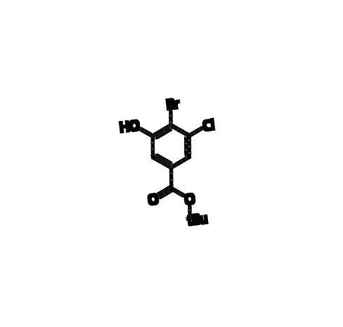 CC(C)(C)OC(=O)c1cc(O)c(Br)c(Cl)c1